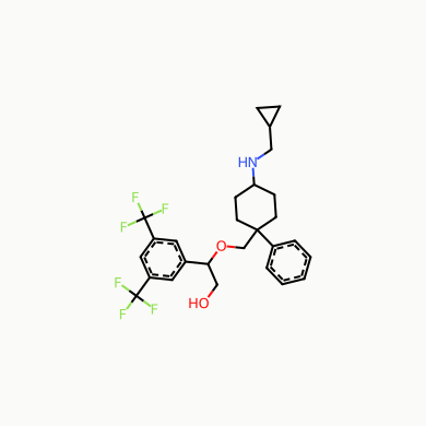 OCC(OCC1(c2ccccc2)CCC(NCC2CC2)CC1)c1cc(C(F)(F)F)cc(C(F)(F)F)c1